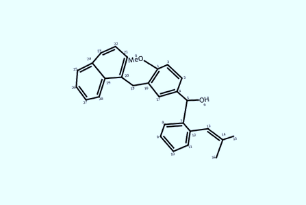 COc1ccc(C(O)c2ccccc2C=C(C)C)cc1Cc1cccc2ccccc12